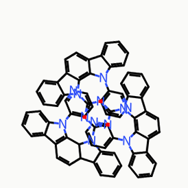 C1=CC2c3ccccc3N(c3nc(-n4c5ccccc5c5ccc6c7ccccc7n(-c7cccnc7)c6c54)nc(-n4c5ccccc5c5ccc6c7ccccc7n(-c7cccnc7)c6c54)n3)C2c2c1c1ccccc1n2-c1cccnc1